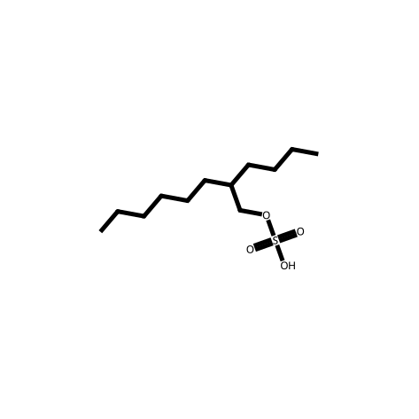 CCCCCCC(CCCC)COS(=O)(=O)O